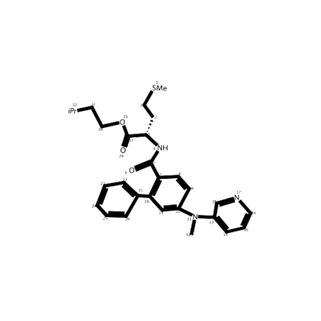 CSCC[C@H](NC(=O)c1ccc(N(C)c2cccnc2)cc1-c1ccccc1)C(=O)OCCC(C)C